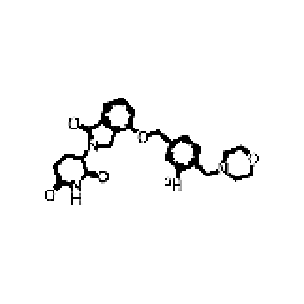 [2H]c1cc(COc2cccc3c2CN(C2CCC(=O)NC2=O)C3=O)ccc1CN1CCOCC1